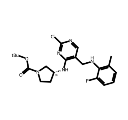 Cc1cccc(F)c1NCc1cnc(Cl)nc1N[C@@H]1CCN(C(=O)OC(C)(C)C)C1